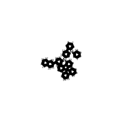 c1ccc(-n2c3ccccc3c3ccc(N(c4ccc(-c5ccc6ccccc6c5)cc4)c4cccc5c4-c4ccccc4C5(c4ccccc4)c4ccccc4)cc32)cc1